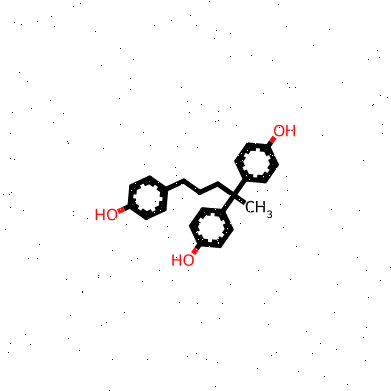 CC(CCCc1ccc(O)cc1)(c1ccc(O)cc1)c1ccc(O)cc1